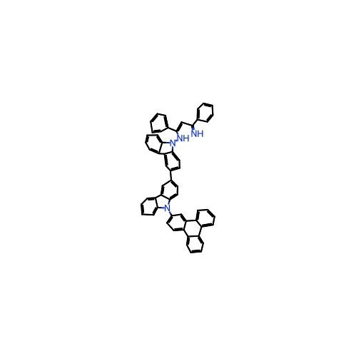 N=C(/C=C(\Nn1c2ccccc2c2cc(-c3ccc4c(c3)c3ccccc3n4-c3ccc4c5ccccc5c5ccccc5c4c3)ccc21)c1ccccc1)c1ccccc1